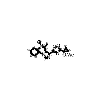 COC1(c2nc(-c3ncn4c3c(C)[n+]([O-])c3ccccc34)no2)CC1